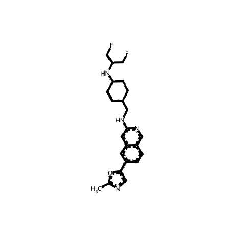 Cc1ncc(-c2ccc3cnc(NCC4CCC(NC(CF)CF)CC4)cc3c2)o1